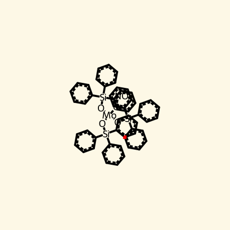 O=N[O][Mo]([O][Si](c1ccccc1)(c1ccccc1)c1ccccc1)([O][Si](c1ccccc1)(c1ccccc1)c1ccccc1)[O][Si](c1ccccc1)(c1ccccc1)c1ccccc1